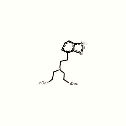 CCCCCCCCCCCCN(CCCCCCCCCCCC)CCc1cccc2[nH]nnc12